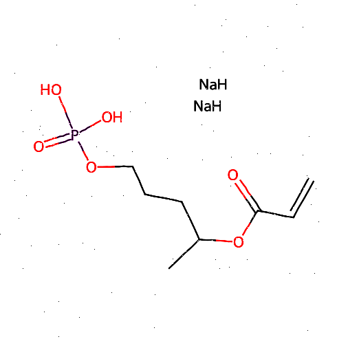 C=CC(=O)OC(C)CCCOP(=O)(O)O.[NaH].[NaH]